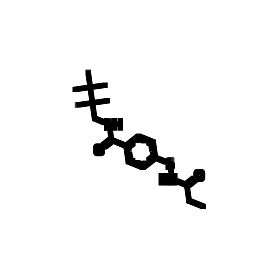 CCC(=O)NSc1ccc(C(=O)NCC(C)(C)C(C)(C)C)cc1